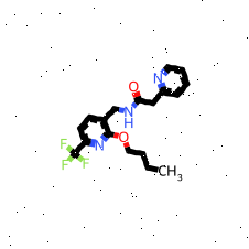 CCCCOc1nc(C(F)(F)F)ccc1CNC(=O)Cc1ccccn1